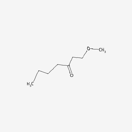 CCCCC(=O)CCOC